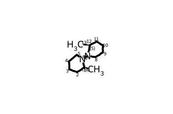 C[C@H]1CCCCN1N1CCCC[C@@H]1C